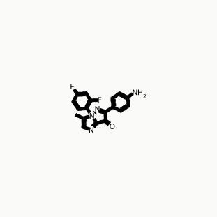 CC1=CN=C2C(=O)C(c3ccc(N)cc3)=N[N+]12c1ccc(F)cc1F